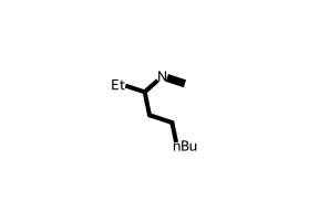 C=NC(CC)CCCCCC